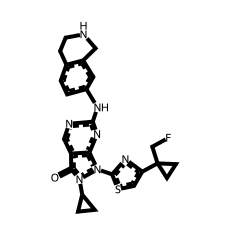 O=c1c2cnc(Nc3ccc4c(c3)CNCC4)nc2n(-c2nc(C3(CF)CC3)cs2)n1C1CC1